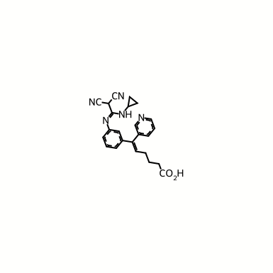 N#CC(C#N)C(=Nc1cccc(C(=CCCCC(=O)O)c2cccnc2)c1)NC1CC1